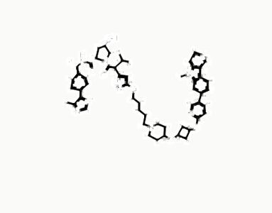 Cc1ncsc1-c1ccc([C@H](C)NC(=O)[C@@H]2C[C@@H](O)CN2C(=O)C(c2cc(OCCCCCN3CCC(OC4CC(Oc5ccc(-c6ccc7c8cnccc8n(C)c7c6)cn5)C4)CC3)no2)C(C)C)cc1